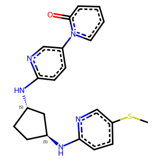 CSc1ccc(N[C@H]2CC[C@H](Nc3ccc(-n4ccccc4=O)cn3)C2)nc1